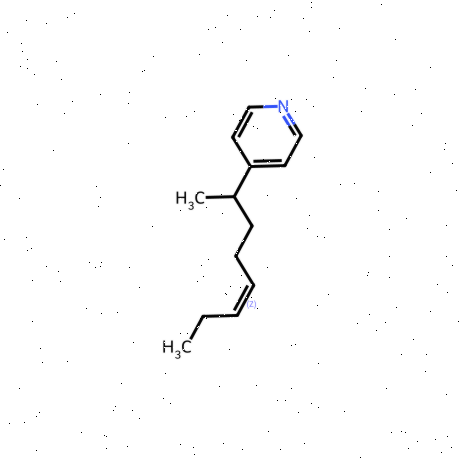 CC/C=C\CCC(C)c1ccncc1